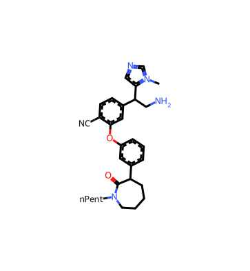 CCCCCN1CCCCC(c2cccc(Oc3cc(C(CN)c4cncn4C)ccc3C#N)c2)C1=O